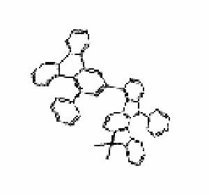 CC1(C)c2ccccc2-c2c1ccc1c3c(-c4cc(-c5ccccc5)c5c6ccccc6c6ccccc6c5c4)cccc3n(-c3ccccc3)c21